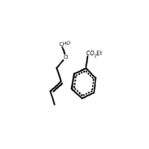 CC=CCOC=O.CCOC(=O)c1ccccc1